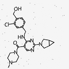 CN1CCN(C(=O)c2cnc(N3CC4CC4C3)nc2NCc2ccc(CO)c(Cl)c2)CC1